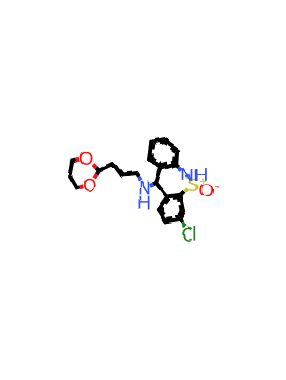 [O-][S+]1Nc2ccccc2C(NCCCC2OCCCO2)c2ccc(Cl)cc21